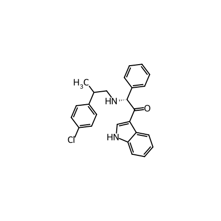 CC(CN[C@@H](C(=O)c1c[nH]c2ccccc12)c1ccccc1)c1ccc(Cl)cc1